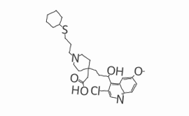 COc1ccc2ncc(Cl)c([C@H](O)CCC3(CC(=O)O)CCN(CCCSC4CCCCC4)CC3)c2c1